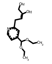 CCOC(OCC)c1ccnc(C/C=C(/O)CO)c1